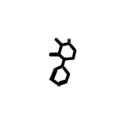 CC1NCCN(N2C=[C]N=CC2)C1=O